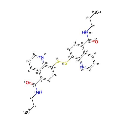 CC(C)(C)CCNC(=O)c1ccc(SSc2ccc(C(=O)NCCC(C)(C)C)c3cccnc23)c2ncccc12